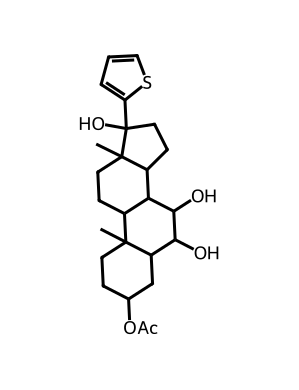 CC(=O)OC1CCC2(C)C(C1)C(O)C(O)C1C2CCC2(C)C1CCC2(O)c1cccs1